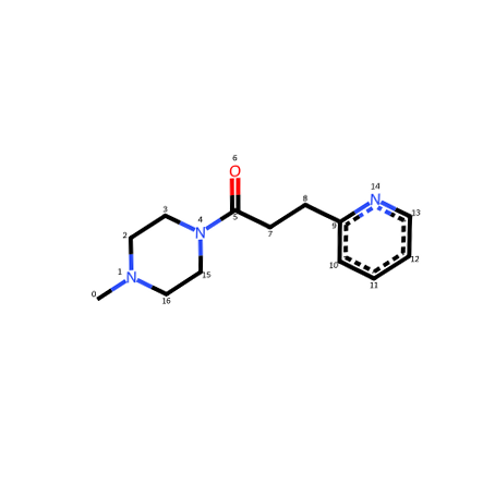 CN1CCN(C(=O)CCc2ccccn2)CC1